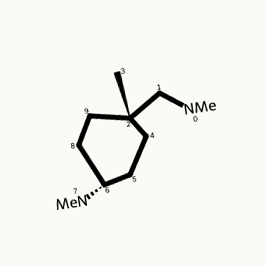 CNC[C@]1(C)CC[C@H](NC)CC1